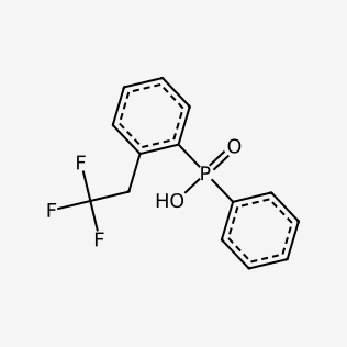 O=P(O)(c1ccccc1)c1ccccc1CC(F)(F)F